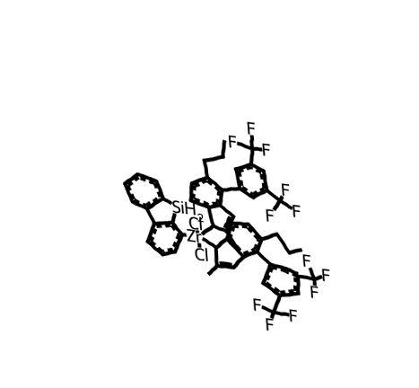 CCCc1ccc2c(c1-c1cc(C(F)(F)F)cc(C(F)(F)F)c1)C=C(C)[CH]2[Zr]([Cl])([Cl])([c]1cccc2c1[SiH2]c1ccccc1-2)[CH]1C(C)=Cc2c1ccc(CCC)c2-c1cc(C(F)(F)F)cc(C(F)(F)F)c1